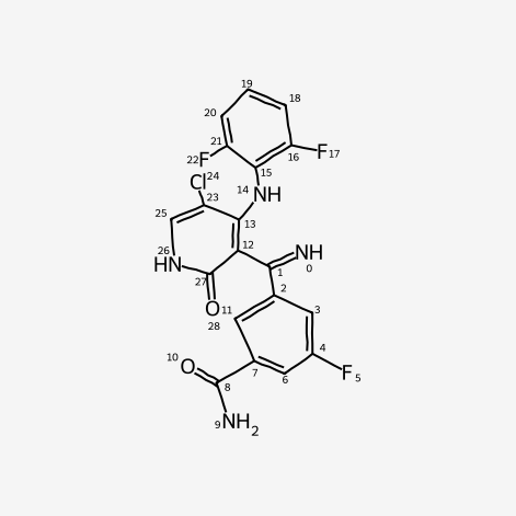 N=C(c1cc(F)cc(C(N)=O)c1)c1c(Nc2c(F)cccc2F)c(Cl)c[nH]c1=O